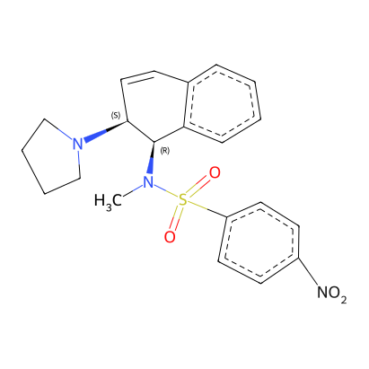 CN([C@@H]1c2ccccc2C=C[C@@H]1N1CCCC1)S(=O)(=O)c1ccc([N+](=O)[O-])cc1